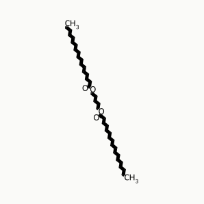 CCCCCCCCCCCCCCCCCC(=O)OCCCCCOC(=O)CCCCCCCCCCCCCCCCC